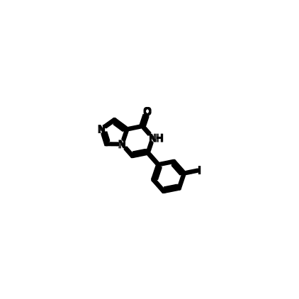 O=c1[nH]c(-c2cccc(I)c2)cn2cncc12